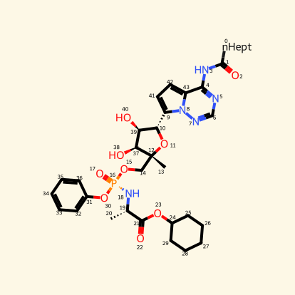 CCCCCCCC(=O)Nc1ncnn2c([C@@H]3O[C@](C)(CO[P@@](=O)(N[C@@H](C)C(=O)OC4CCCCC4)Oc4ccccc4)[C@@H](O)[C@H]3O)ccc12